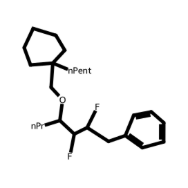 CCCCCC1(COC(CCC)C(F)C(F)Cc2ccccc2)CCCCC1